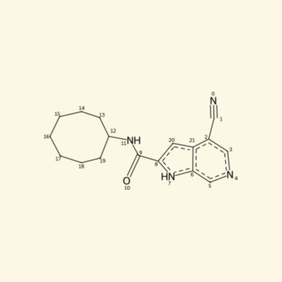 N#Cc1cncc2[nH]c(C(=O)NC3CCCCCCC3)cc12